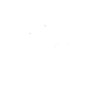 CCCCOC(=O)C[C@H](NC(=O)OC(C)(C)C)C(=O)O[C@@H](C)C(=O)OC1=CC[C@@]2(O)[C@H]3Cc4ccc(OC(=O)OC(C)(C)C)c5c4[C@@]2(CCN3C)[C@H]1O5